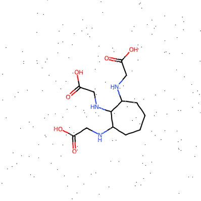 O=C(O)CNC1CCCCC(NCC(=O)O)C1NCC(=O)O